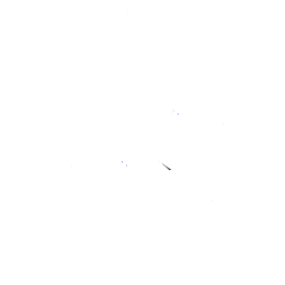 O=C(O)[C@@H]1Cc2c(n(Cc3ccccc3)c3ccc(F)cc23)[C@@H](CC23CC4CC(CC(C4)C2)C3)N1C(=O)CCc1ccccc1